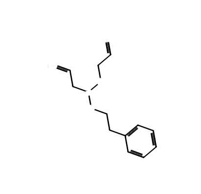 C=CCOP(CC=C)OCCc1ccccc1